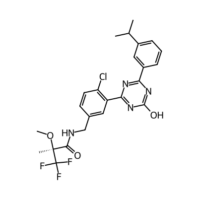 CO[C@@](C)(C(=O)NCc1ccc(Cl)c(-c2nc(O)nc(-c3cccc(C(C)C)c3)n2)c1)C(F)(F)F